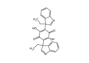 CCC1(C2=C(O)C(=O)C(C3(CC)C=Nc4ccccc43)=C(O)C2=O)C=Nc2ccccc21